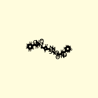 O=CN(CC1CC(c2nnc(COC(=O)c3cc(-c4ccccc4)on3)s2)C1)c1cc(-c2ccccc2)on1